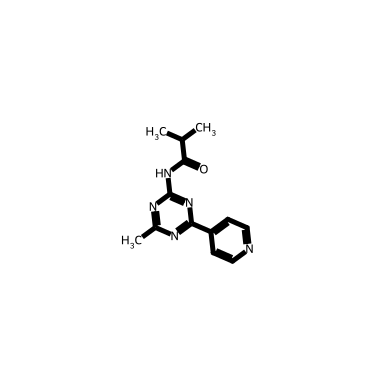 Cc1nc(NC(=O)C(C)C)nc(-c2ccncc2)n1